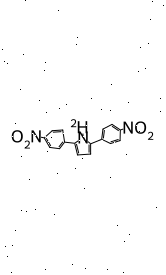 [2H]n1c(-c2ccc([N+](=O)[O-])cc2)ccc1-c1ccc([N+](=O)[O-])cc1